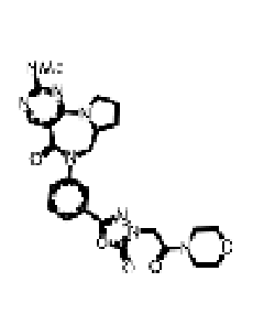 CNc1ncc2c(n1)N1CCCC1CN(c1cccc(-c3nn(CC(=O)N4CCOCC4)c(=O)o3)c1)C2=O